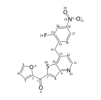 O=C(c1ccco1)c1cc2nccc(Cc3ccc([N+](=O)[O-])cc3F)c2s1